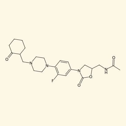 CC(=O)NCC1CN(c2ccc(N3CCN(CC4CCCCC4=O)CC3)c(F)c2)C(=O)O1